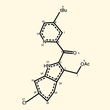 CC(=O)OCc1c(C(=O)c2cc(C(C)(C)C)ccn2)[nH]c2cc(Cl)ccc12